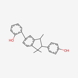 CC1c2cc(-c3ccccc3O)ccc2C(C)(C)C1c1ccc(O)cc1